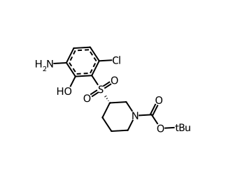 CC(C)(C)OC(=O)N1CCC[C@H](S(=O)(=O)c2c(Cl)ccc(N)c2O)C1